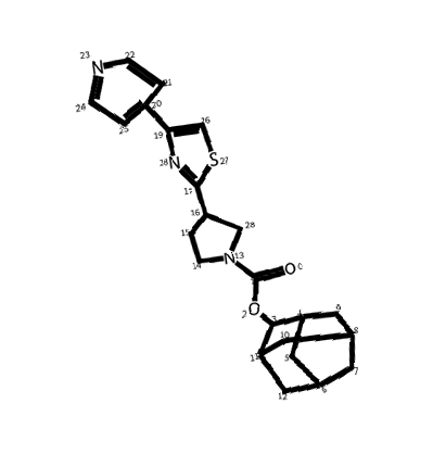 O=C(OC1C2CC3CC(C2)CC1C3)N1CCC(c2nc(-c3ccncc3)cs2)C1